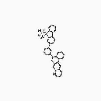 CC1(C)c2ccccc2-c2ccc(-c3cccc(-c4cc5cc6ncccc6cc5c5ccccc45)c3)cc21